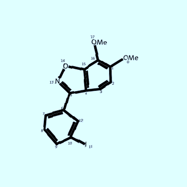 COc1ccc2c(-c3cccc(I)c3)noc2c1OC